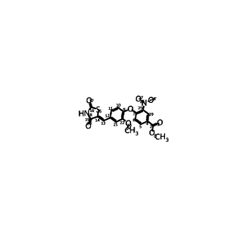 COC(=O)c1ccc(Oc2ccc(/C=C3\SC(=O)NC3=O)cc2OC)c([N+](=O)[O-])c1